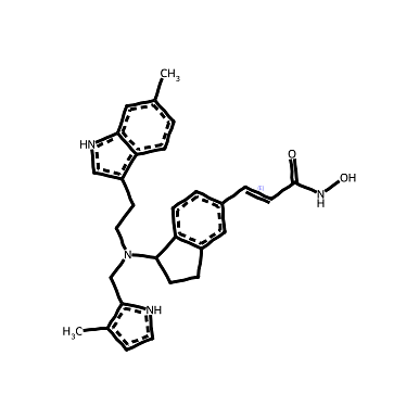 Cc1ccc2c(CCN(Cc3[nH]ccc3C)C3CCc4cc(/C=C/C(=O)NO)ccc43)c[nH]c2c1